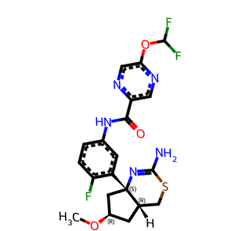 CO[C@@H]1C[C@H]2CSC(N)=N[C@@]2(c2cc(NC(=O)c3cnc(OC(F)F)cn3)ccc2F)C1